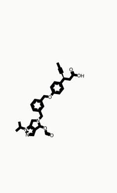 CC#C[C@@H](CC(=O)O)c1ccc(OCc2cccc(CN3Cc4c(cnn4C(C)C)C3OC=O)c2)cc1